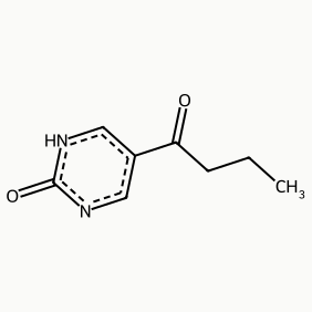 CCCC(=O)c1cnc(=O)[nH]c1